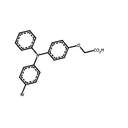 O=C(O)COc1ccc(N(c2ccccc2)c2ccc(Br)cc2)cc1